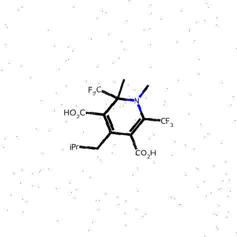 CC(C)CC1=C(C(=O)O)C(C)(C(F)(F)F)N(C)C(C(F)(F)F)=C1C(=O)O